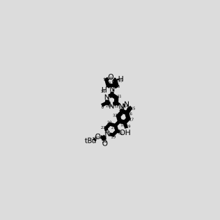 Cc1nc(N2C[C@@H]3C[C@H]2CO3)cc(-n2ncc3cc(C)c(C4CCN(C(=O)OC(C)(C)C)CC4O)cc32)n1